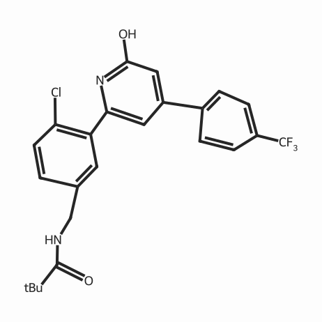 CC(C)(C)C(=O)NCc1ccc(Cl)c(-c2cc(-c3ccc(C(F)(F)F)cc3)cc(O)n2)c1